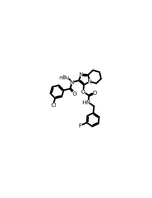 CCCCN(C(=O)c1cccc(Cl)c1)c1nc2n(c1OC(=O)NCc1cccc(F)c1)CCCC2